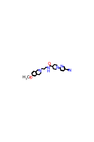 COc1ccc2c(c1)CCN(CCCNC(=O)C1CCN(c3ccc(C#N)cn3)CC1)C2